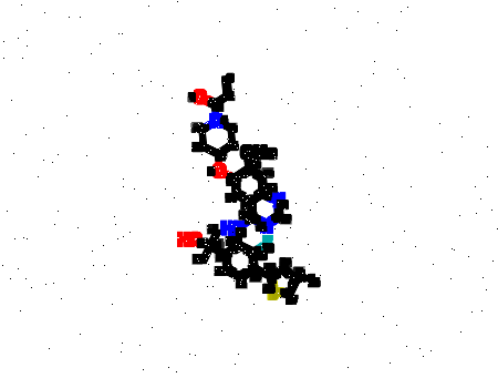 C=CC(=O)N1CCC(Oc2cc3c(Nc4c(C(C)(C)O)ccc(-c5cc(C)cs5)c4F)ncnc3cc2OC)CC1